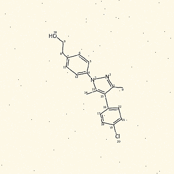 Cc1nn(-c2ccc(CCO)cc2)c(C)c1-c1ccc(Cl)cc1